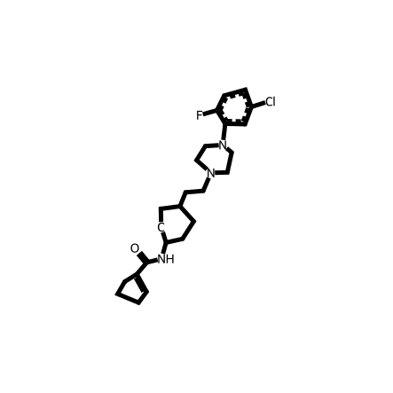 O=C(NC1CCC(CCN2CCN(c3cc(Cl)ccc3F)CC2)CC1)C1=CCCC1